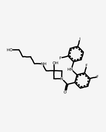 O=C(c1ccc(F)c(F)c1Nc1ccc(I)cc1F)N1CC(O)(CNCCCCO)C1